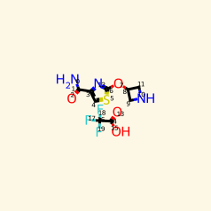 NC(=O)c1csc(OC2CNC2)n1.O=C(O)C(F)(F)F